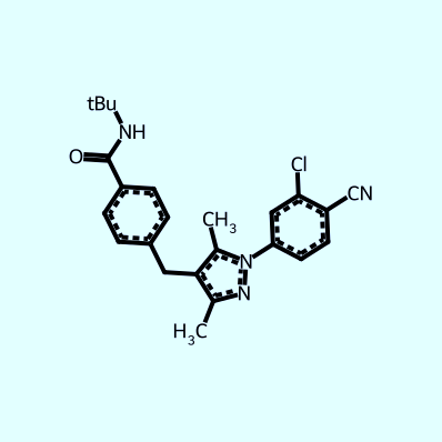 Cc1nn(-c2ccc(C#N)c(Cl)c2)c(C)c1Cc1ccc(C(=O)NC(C)(C)C)cc1